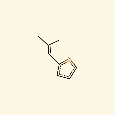 CC(C)=Cc1cccs1